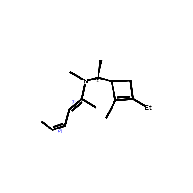 C/C=C\C=C(/C)N(C)[C@@H](C)C1CC(CC)=C1C